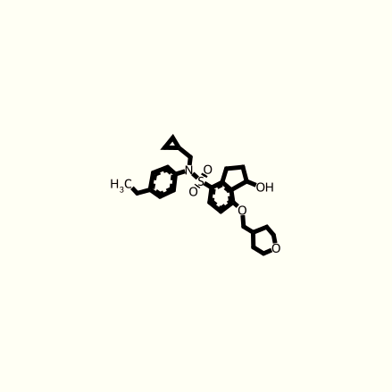 CCc1ccc(N(CC2CC2)S(=O)(=O)c2ccc(OCC3CCOCC3)c3c2CCC3O)cc1